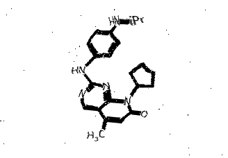 Cc1cc(=O)n(C2CCCC2)c2nc(Nc3ccc(NC(C)C)cc3)ncc12